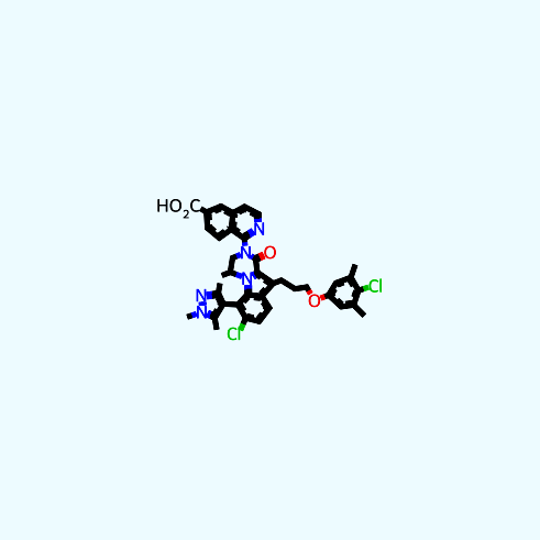 Cc1cc(OCCCc2c3n(c4c(-c5c(C)nn(C)c5C)c(Cl)ccc24)C(C)CN(c2nccc4cc(C(=O)O)ccc24)C3=O)cc(C)c1Cl